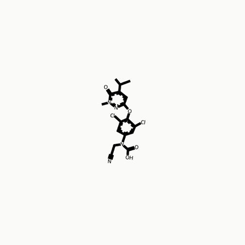 CC(C)c1cc(Oc2c(Cl)cc(N(CC#N)C(=O)O)cc2Cl)nn(C)c1=O